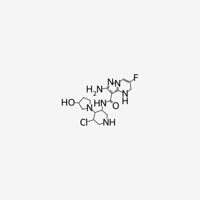 Nc1nn2c(c1C(=O)NC1CNCC(Cl)C1N1CCC(O)C1)NCC(F)=C2